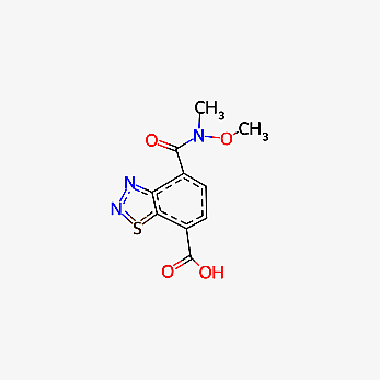 CON(C)C(=O)c1ccc(C(=O)O)c2snnc12